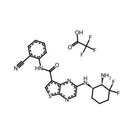 N#Cc1ccccc1NC(=O)c1csc2ncc(N[C@@H]3CCCC(F)(F)[C@@H]3N)nc12.O=C(O)C(F)(F)F